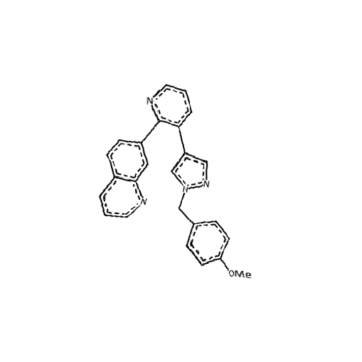 COc1ccc(Cn2cc(-c3cccnc3-c3ccc4cccnc4c3)cn2)cc1